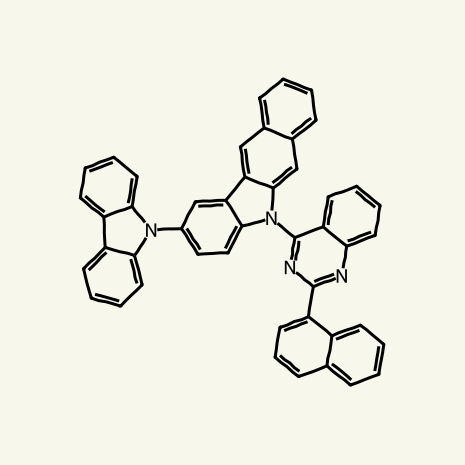 c1ccc2cc3c(cc2c1)c1cc(-n2c4ccccc4c4ccccc42)ccc1n3-c1nc(-c2cccc3ccccc23)nc2ccccc12